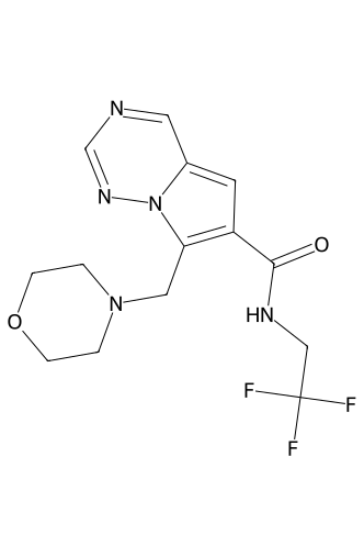 O=C(NCC(F)(F)F)c1cc2cncnn2c1CN1CCOCC1